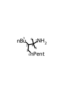 CCCCCCC(CCCC)C(C)(C)N